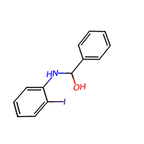 OC(Nc1ccccc1I)c1ccccc1